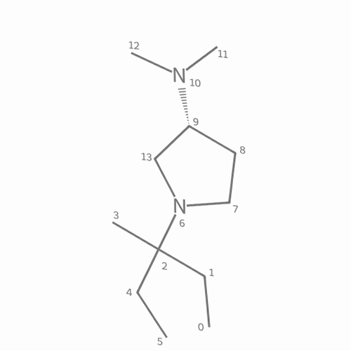 CCC(C)(CC)N1CC[C@@H](N(C)C)C1